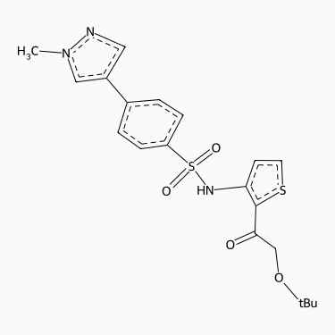 Cn1cc(-c2ccc(S(=O)(=O)Nc3ccsc3C(=O)COC(C)(C)C)cc2)cn1